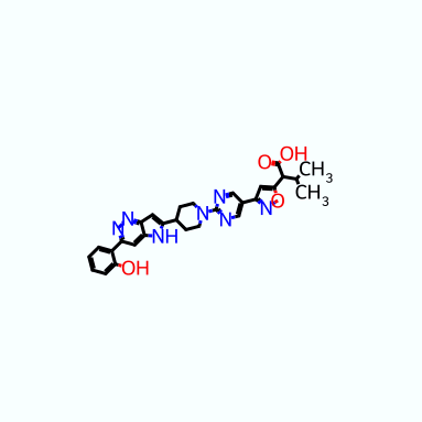 CC(C)C(C(=O)O)c1cc(-c2cnc(N3CCC(c4cc5nnc(-c6ccccc6O)cc5[nH]4)CC3)nc2)no1